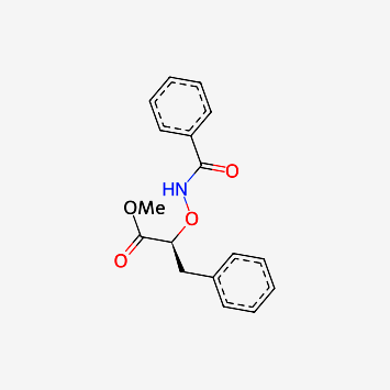 COC(=O)[C@H](Cc1ccccc1)ONC(=O)c1ccccc1